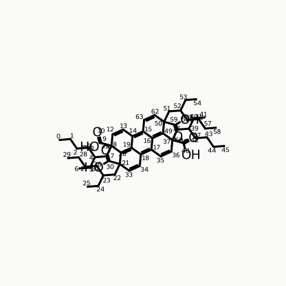 CCCCC(CC)CC1(C(=O)O)C=Cc2c3c4c(c5c2=C1C(CC(CC)CCCC)(C(=O)O)C=C5)C=CC(CC(CC)CCCC)(C(=O)O)C=4C(CC(CC)CCCC)(C(=O)O)C=C3